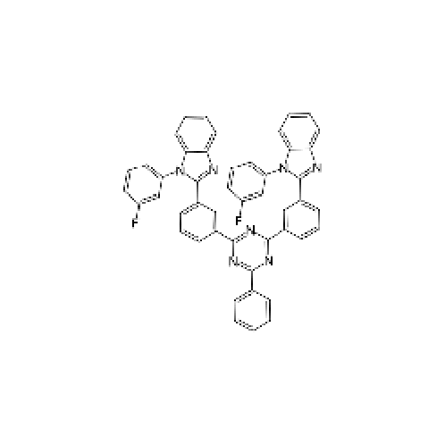 Fc1cccc(-n2c(-c3cccc(-c4nc(-c5ccccc5)nc(-c5cccc(-c6nc7ccccc7n6-c6cccc(F)c6)c5)n4)c3)nc3ccccc32)c1